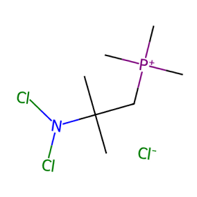 CC(C)(C[P+](C)(C)C)N(Cl)Cl.[Cl-]